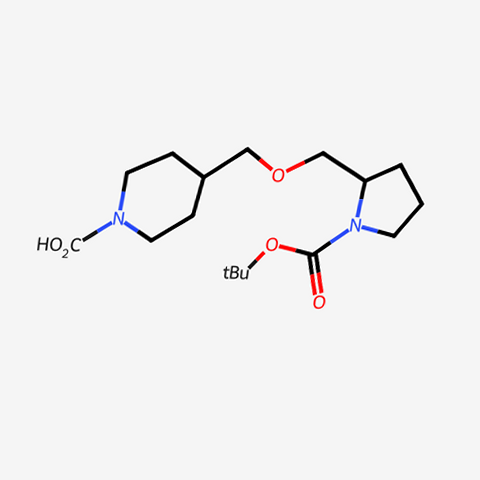 CC(C)(C)OC(=O)N1CCCC1COCC1CCN(C(=O)O)CC1